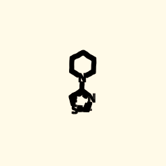 [c]1nc(N2CCCCC2)cs1